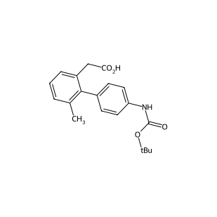 Cc1cccc(CC(=O)O)c1-c1ccc(NC(=O)OC(C)(C)C)cc1